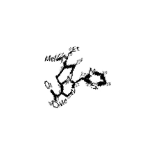 CCN(NC)C1CC2=C(C(=O)OC)CN=C(c3nccs3)N2C1